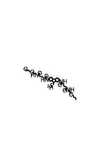 [2H]SCC1c2cc(NC(=O)CCCC(=O)NCCOCCCC)ccc2-c2ccc(NC(=O)CCCC(=O)NCCOCCCOC)cc21